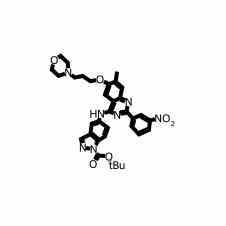 Cc1cc2nc(-c3cccc([N+](=O)[O-])c3)nc(Nc3ccc4c(cnn4C(=O)OC(C)(C)C)c3)c2cc1OCCCN1CCOCC1